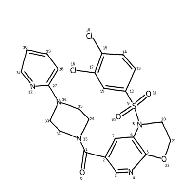 O=C(c1cnc2c(c1)N(S(=O)(=O)c1ccc(Cl)c(Cl)c1)CCO2)N1CCN(c2ccccn2)CC1